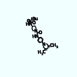 C[C@@H]1C[C@@H](C)CN(c2ccc(NC(=O)N3CCC(NS(=O)(=O)C(C)(C)C)CC3)cc2)C1